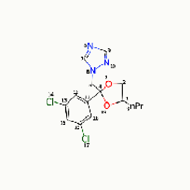 CCCC1COC(Cn2cncn2)(c2cc(Cl)cc(Cl)c2)O1